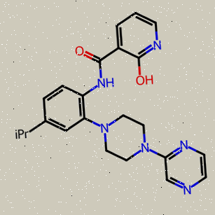 CC(C)c1ccc(NC(=O)c2cccnc2O)c(N2CCN(c3cnccn3)CC2)c1